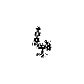 CC(C)[Si](C#Cc1cc(N2C(=O)N(C)CC23CCCC3)nc2nc(Nc3ccc(N4CCN(C5COC5)CC4)cc3)ncc12)(C(C)C)C(C)C